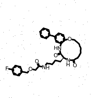 O=C(COCc1ccc(F)cc1)NCCCC[C@@H]1NC(=O)CCCCCOc2ccc(-c3ccccc3)cc2NC1=O